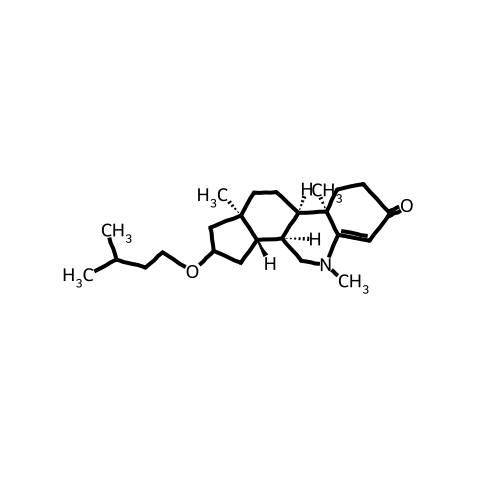 CC(C)CCOC1C[C@H]2[C@@H]3CN(C)C4=CC(=O)CC[C@]4(C)[C@@H]3CC[C@]2(C)C1